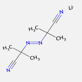 CC(C)(C#N)N=NC(C)(C)C#N.[Li]